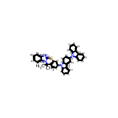 CC1(C)c2ccc(-n3c4ccccc4c4cc(-n5c6ccccc6c6ccccc65)ccc43)cc2Sc2nc3ccccc3n21